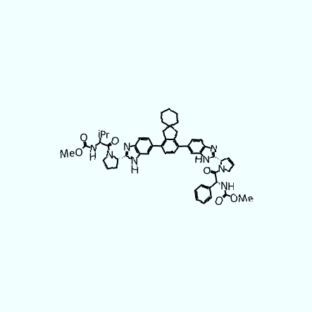 COC(=O)NC(C(=O)N1CCC[C@H]1c1nc2ccc(-c3ccc(-c4ccc5nc([C@@H]6C=CCN6C(=O)[C@H](NC(=O)OC)c6ccccc6)[nH]c5c4)c4c3CC3(CCCCC3)C4)cc2[nH]1)C(C)C